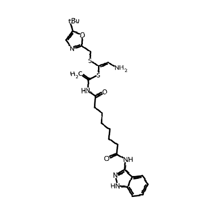 C=C(NC(=O)CCCCCCC(=O)Nc1n[nH]c2ccccc12)S/C(=C\N)SCc1ncc(C(C)(C)C)o1